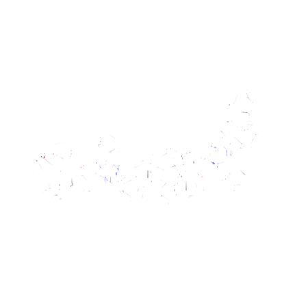 c1ccc(-c2nc(-c3cccc4c3Oc3ccccc3C43c4ccccc4-c4ccccc43)nc(-c3cccc4cc(-c5cccc6c5-c5ccccc5C65c6ccccc6Oc6c(-c7nc(-c8ccccc8)nc(-c8ccc(-c9ccccc9)c9ccccc89)n7)cccc65)ccc34)n2)cc1